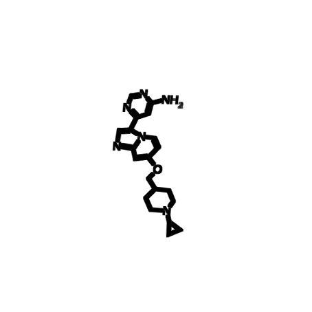 Nc1cc(-c2cnc3cc(OCC4CCN(C5CC5)CC4)ccn23)ncn1